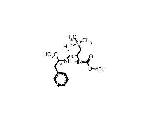 CC(C)(C)OC(=O)N[C@H](CN[C@@H](Cc1cccnc1)C(=O)O)C[Si](C)(C)C